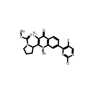 Cc1c(C2CCCN2C(=O)OC(C)(C)C)n(C(C)C)c2cc(-c3nc(Cl)ncc3F)ccc2c1=O